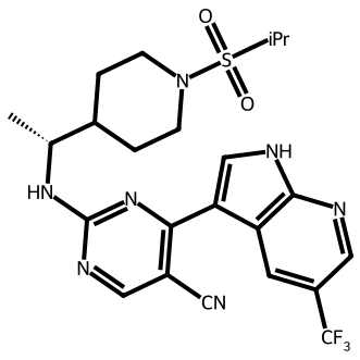 CC(C)S(=O)(=O)N1CCC([C@@H](C)Nc2ncc(C#N)c(-c3c[nH]c4ncc(C(F)(F)F)cc34)n2)CC1